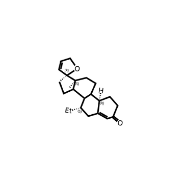 CC[C@H]1CC2=CC(=O)CC[C@@H]2C2CC[C@@]3(C)C(CC[C@@]34C=CCO4)C21